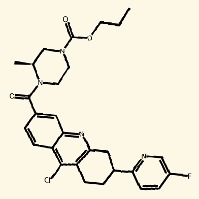 CCCOC(=O)N1CCN(C(=O)c2ccc3c(Cl)c4c(nc3c2)CC(c2ccc(F)cn2)CC4)[C@@H](C)C1